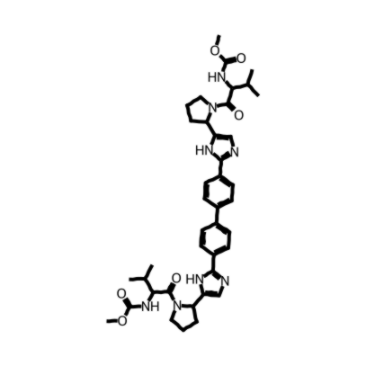 COC(=O)NC(C(=O)N1CCCC1c1cnc(-c2ccc(-c3ccc(-c4ncc(C5CCCN5C(=O)C(NC(=O)OC)C(C)C)[nH]4)cc3)cc2)[nH]1)C(C)C